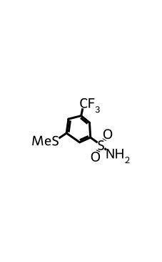 CSc1cc(C(F)(F)F)cc(S(N)(=O)=O)c1